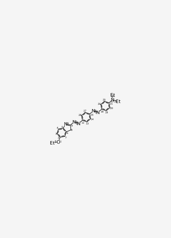 CCOc1ccc2c(c1)CC(N=Nc1ccc(N=Nc3ccc(N(CC)CC)cc3)cc1)=N2